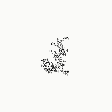 CC(C)[C@H](NC(=O)[C@H](CC(N)=O)NC(=O)[C@H](C)NC(=O)[C@H](C)NC(=O)[C@H](Cc1ccccc1)NC(=O)[C@@H](N)CCCCN)C(=O)N[C@H](C(=O)N[C@@H](CCCNC(=N)N)C(=O)N[C@@H](CCCCN)C(=O)N[C@@H](CS)C(=O)N[C@H](C(=O)N[C@H](C(=O)N[C@@H](Cc1c[nH]cn1)C(=O)O)[C@@H](C)O)C(C)C)C(C)C